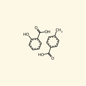 Cc1ccc(C(=O)O)cc1.O=C(O)c1ccccc1O